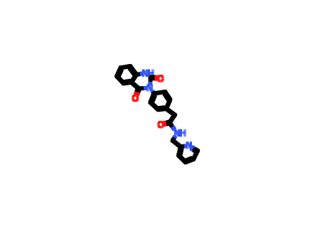 O=C(Cc1ccc(-n2c(=O)[nH]c3ccccc3c2=O)cc1)NCc1ccccn1